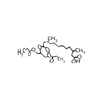 CCC(=O)OCC(COC(=O)CC)OC(=O)CC(C)CCCCCCC(C)CC(=O)O